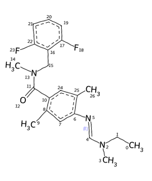 CCN(C)/C=N/c1cc(C)c(C(=O)N(C)Cc2c(F)cccc2F)cc1C